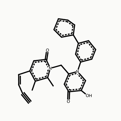 C#C/C=C\c1cc(=O)n(Cc2cc(=O)c(O)cn2-c2cccc(-c3ccccc3)c2)c(C)c1C